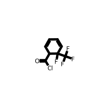 O=C(Cl)C1C=CC=CC1(F)C(F)(F)F